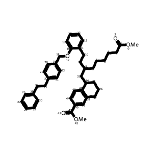 COC(=O)CCCCCC(CCc1ccccc1OCc1ccc(CCc2ccccc2)cc1)CC1CCCc2cc(C(=O)OC)ccc21